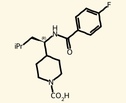 CC(C)C[C@@H](NC(=O)c1ccc(F)cc1)C1CCN(C(=O)O)CC1